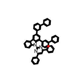 c1ccc(-c2cccc(-c3cc(-c4cccc(-c5ccccc5)c4)c4c(c3)c3ccccc3n4-c3nc(-c4ccccc4)cc(-c4ccccc4)n3)c2)cc1